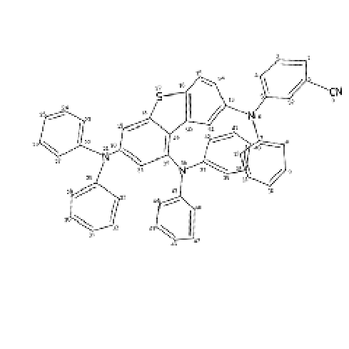 N#Cc1cccc(N(c2ccccc2)c2ccc3sc4cc(N(c5ccccc5)c5ccccc5)cc(N(c5ccccc5)c5ccccc5)c4c3c2)c1